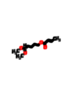 CC=CC(=O)OCCCC[SiH](OC)OC